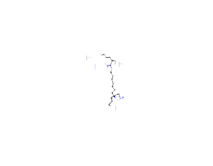 CCCCC(CC)C(N)CCCCCCCCC(N)(CC)CCCC